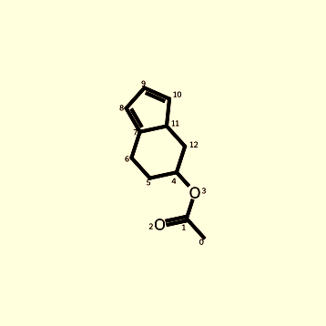 CC(=O)OC1CCC2=CC=CC2C1